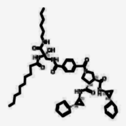 CCCCCCCCCC(=O)N[C@](O)(CNC(=O)c1ccc(C(=O)N2C[C@@H](C(=O)N[C@H]3C[C@@H]3c3ccccc3)[C@H](C(=O)N[C@H]3C[C@@H]3c3ccccc3)C2)cc1)C(=O)NCCCCCC